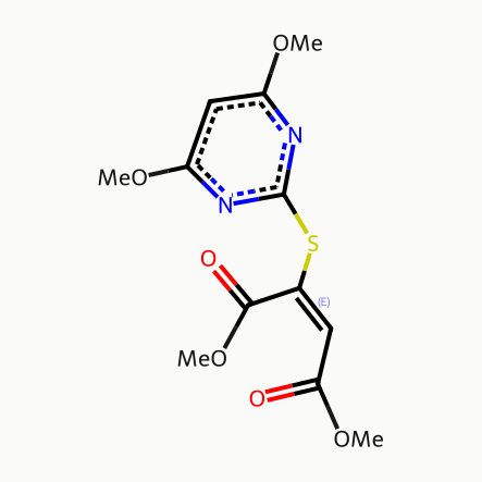 COC(=O)/C=C(/Sc1nc(OC)cc(OC)n1)C(=O)OC